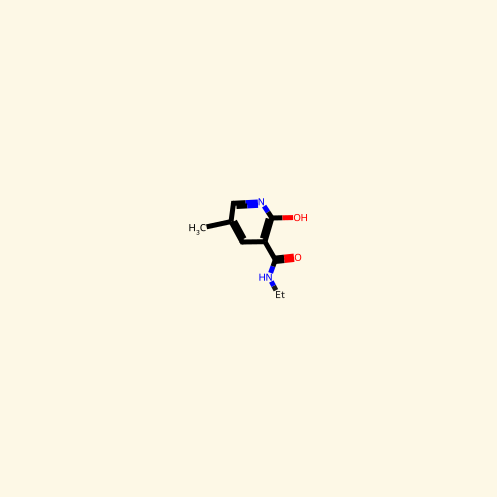 CCNC(=O)c1cc(C)cnc1O